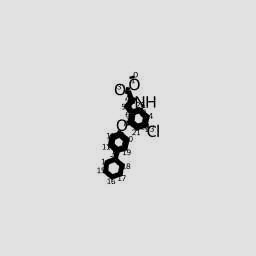 COC(=O)c1cc2c(Oc3ccc(C4CCCCC4)cc3)cc(Cl)cc2[nH]1